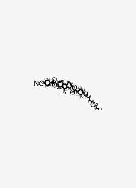 C=CCOCCCCOc1ccc(C(=O)Oc2ccc3c(c2)C(C)c2cc(OC(=O)c4ccc(C#N)cc4)ccc2-3)cc1